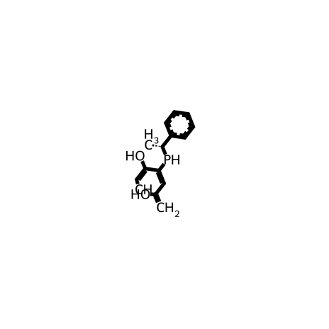 C=C(O)/C=C(P[C@H](C)c1ccccc1)\C(O)=C/C